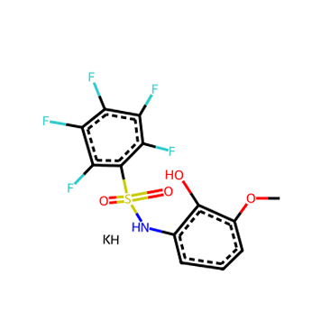 COc1cccc(NS(=O)(=O)c2c(F)c(F)c(F)c(F)c2F)c1O.[KH]